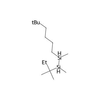 CCC(C)(C)[SiH](C)[SiH](C)CCCCC(C)(C)C